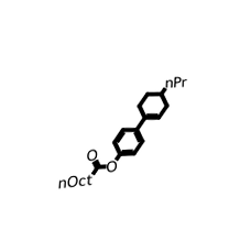 CCCCCCCCC(=O)Oc1ccc(C2=CCC(CCC)CC2)cc1